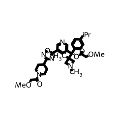 COCC(=O)O[C@@](c1ccc(C(C)C)cc1)(c1cncc(-c2nc(C3CCN(C(=O)COC)CC3)no2)c1)C1(C)CN(C)C1